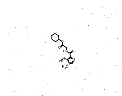 Cn1cnc(C(=O)NCC(=O)OC2CCCCC2)c1N=N